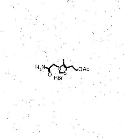 Br.CC(=O)OCCC1=C(C)N(CC(N)=O)CS1